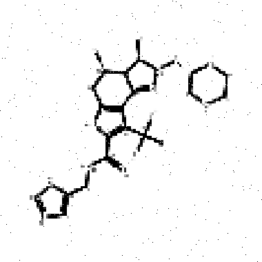 CC1C2C(=NN1C[C@H]1COCCO1)c1c(oc(C(=O)NCc3cncs3)c1C(C)(F)F)C[C@H]2C